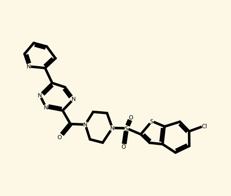 O=C(c1ncc(-c2ccccn2)nn1)N1CCN(S(=O)(=O)c2cc3ccc(Cl)cc3s2)CC1